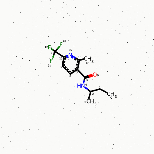 CCC(C)NC(=O)c1ccc(C(F)(F)F)nc1C